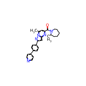 Cc1cc(C(=O)N2CCCCCC2C)nc2cc(-c3ccc(-c4ccncc4)cc3)nn12